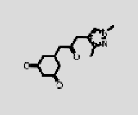 Cc1nn(C)cc1CC(=O)CC1CC(=O)CC(=O)C1